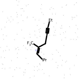 CCC#CC/C(=C\C(C)C)C(F)(F)F